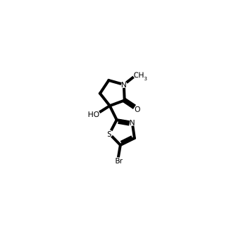 CN1CCC(O)(c2ncc(Br)s2)C1=O